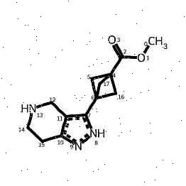 COC(=O)C12CC(c3[nH]nc4c3CNCC4)(C1)C2